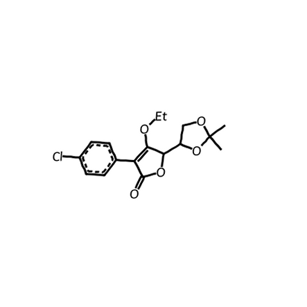 CCOC1=C(c2ccc(Cl)cc2)C(=O)OC1C1COC(C)(C)O1